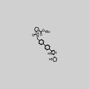 CC(C)(C)OC(=O)N1CCC[C@H]1C(=O)NCc1ccc(-c2ccc(-c3cnc([C@@H]4CCCN4)[nH]3)cc2)cc1